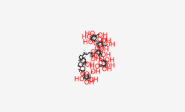 C[C@H](CC[C@@H](O[C@@H]1O[C@H](CO[C@H]2O[C@H](CO)[C@@H](O)[C@H](O)[C@H]2O)[C@@H](O)[C@H](O)[C@H]1O[C@@H]1O[C@H](CO)[C@@H](O)[C@H](O)[C@H]1O[C@H]1C[C@H](CO)[C@@H](O)[C@H](O)[C@H]1O)C(C)(C)O)C1CC[C@@]2(C)C3CC=C4C(CC[C@H](O[C@@H]5O[C@H](CCO)[C@@H](O)[C@H](O)[C@H]5O)C4(C)C)[C@]3(C)[C@H](O)C[C@]12C